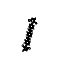 CC1=CC(=O)N(c2ccc(C(C)(C)c3ccc(C(C)(C)c4ccc(N5C(=O)C=C(C)C5=O)cc4)cc3)cc2)C1=O